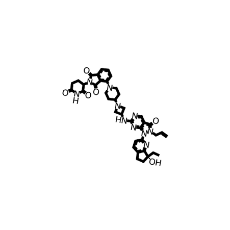 C=CCn1c(=O)c2cnc(NC3CN(C4CCN(c5cccc6c5C(=O)N(C5CCC(=O)NC5=O)C6=O)CC4)C3)nc2n1-c1ccc2c(n1)[C@@](O)(CC)CC2